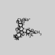 COc1ccc(C/C(C(=O)c2ccc(OC(C)C)cc2)=C(\C(=O)[O-])c2ccc3nsnc3c2)cc1F.[Na+]